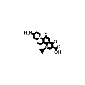 CCc1c(N2CCC(N)CC2)c(F)cc2c(=O)c(C(=O)O)cn(C3CC3)c12